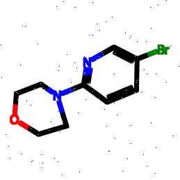 Brc1ccc(N2CCOCC2)nc1